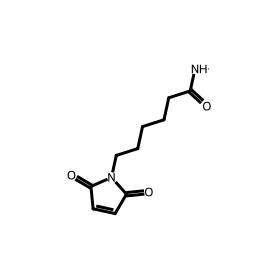 [NH]C(=O)CCCCCN1C(=O)C=CC1=O